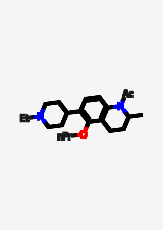 CCCOc1c(C2CCN(CC)CC2)ccc2c1CCC(C)N2C(C)=O